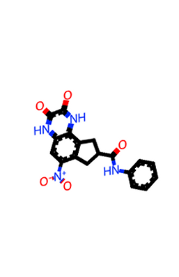 O=C(Nc1ccccc1)C1Cc2c([N+](=O)[O-])cc3[nH]c(=O)c(=O)[nH]c3c2C1